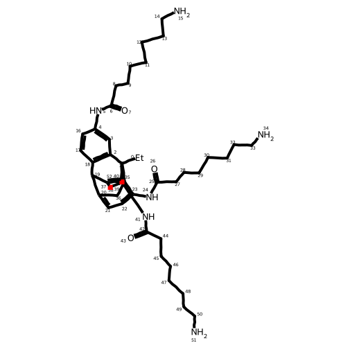 CCC12c3cc(NC(=O)CCCCCCCN)ccc3C(C3=CC=C(NC(=O)CCCCCCCN)C1C3)c1ccc(NC(=O)CCCCCCCN)cc12